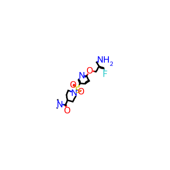 CN(C)C(=O)C1CCN(S(=O)(=O)c2ccc(OC/C(=C\F)CN)nc2)CC1